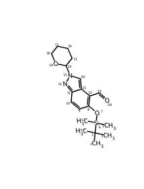 CC(C)(C)[Si](C)(C)Oc1ccc2nn(C3CCCCO3)cc2c1C=O